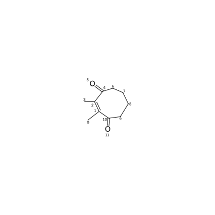 C/C1=C(\C)C(=O)CCCCC1=O